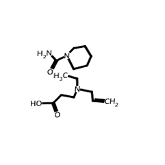 C=CCN(CC)CCC(=O)O.NC(=O)N1CCCCC1